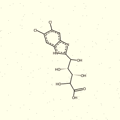 O=C(O)C(O)[C@@H](O)[C@H](O)C(O)c1nc2cc(Cl)c(Cl)cc2[nH]1